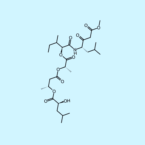 CCC(C)[C@H](OC(=O)[C@H](C)OC(=O)C[C@@H](C)OC(=O)[C@@H](O)CC(C)C)C(=O)N[C@@H](CC(C)C)C(=O)CC(=O)OC